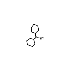 CC(C)P(C1CCCCC1)C1CCCCC1